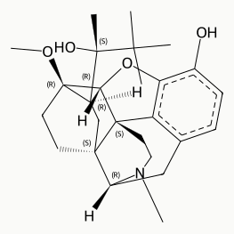 CO[C@]12CC[C@@]3(C[C@@H]1[C@](C)(O)C(C)(C)C)[C@H]1Cc4ccc(O)c5c4[C@@]3(CCN1C)[C@H]2O5